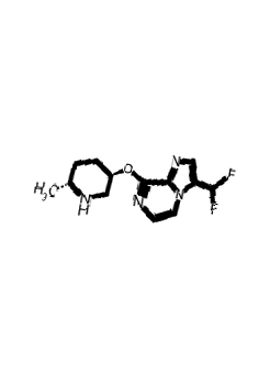 C[C@@H]1CC[C@@H](Oc2nccn3c(C(F)F)cnc23)CN1